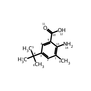 Cc1cc(C(C)(C)C)cc(C(=O)O)c1N